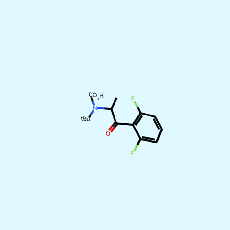 CC(C(=O)c1c(F)cccc1F)N(C(=O)O)C(C)(C)C